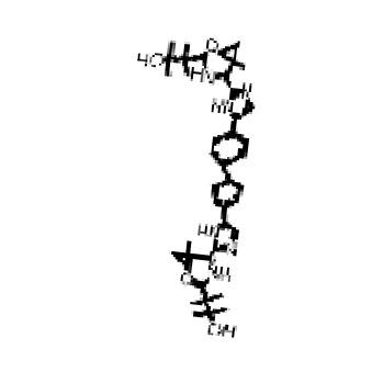 CC1(C(NC(=O)C(C)(C)C(C)(C)O)c2ncc(-c3ccc(-c4ccc(-c5cnc([C@@H](NC(=O)C(C)(C)C(C)(C)O)C6(C)CC6)[nH]5)cc4)cc3)[nH]2)CC1